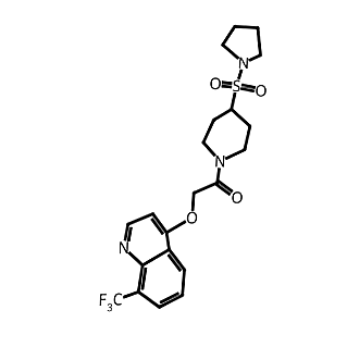 O=C(COc1ccnc2c(C(F)(F)F)cccc12)N1CCC(S(=O)(=O)N2CCCC2)CC1